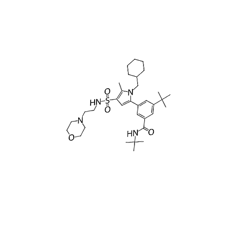 Cc1c(S(=O)(=O)NCCN2CCOCC2)cc(-c2cc(C(=O)NC(C)(C)C)cc(C(C)(C)C)c2)n1CC1CCCCC1